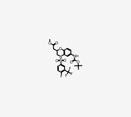 COC(=O)CC1CN(S(=O)(=O)c2ccc(F)c(C(F)(F)F)c2)c2cc(NC(=O)OC(C)(C)C)ccc2O1